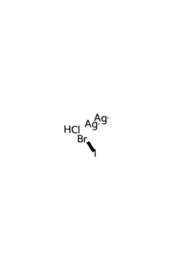 BrI.Cl.[Ag].[Ag]